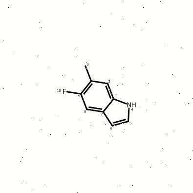 Cc1cc2[nH]ccc2cc1F